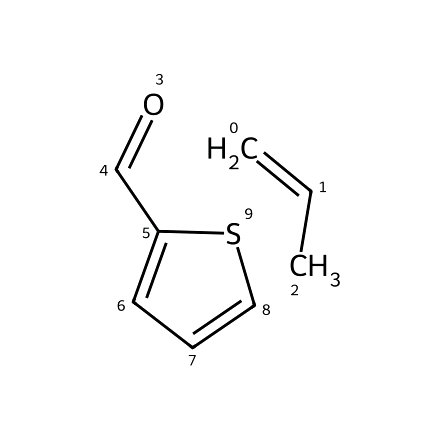 C=CC.O=Cc1cccs1